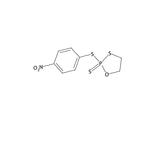 O=[N+]([O-])c1ccc(SP2(=S)OCCS2)cc1